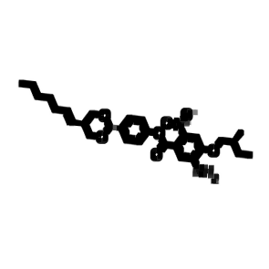 CCCCC/C=C/[C@H]1CO[C@H](c2ccc(OC(=O)c3cc(N)c(OC[C@@H](C)CC)cc3[N+](=O)[O-])cc2)OC1